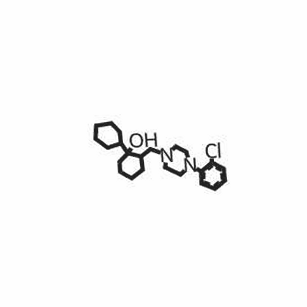 OC1(C2CCCCC2)CCCCC1CN1CCN(c2ccccc2Cl)CC1